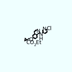 CCOC(=O)C1(COc2ccc3c(Nc4ccc(Cl)nc4)nccc3c2)CC1